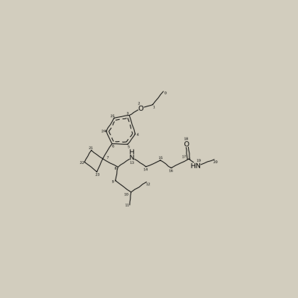 CCOc1ccc(C2(C(CC(C)C)NCCCC(=O)NC)CCC2)cc1